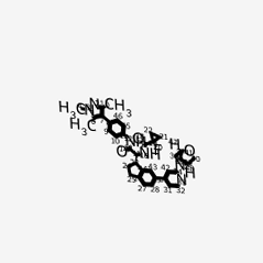 Cc1nn(C)c(C)c1-c1ccc(NC(=O)C(NC(=O)C2(F)CC2)[C@@H]2CCc3ccc(-c4ccnc(N5C[C@@H]6C[C@H]5CO6)c4)cc32)cc1